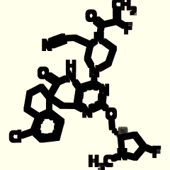 C=C(F)C(=O)N1CCN(c2nc(OC[C@@H]3CC(F)CN3C)nc3c2NC(=O)C2(CCCc4c(Cl)cccc42)C3)CC1CC#N